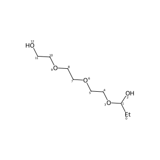 CCC(O)OCCOCCOCCO